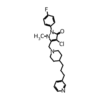 Cn1c(CN2CCC(CCCc3cccnc3)CC2)c(Cl)c(=O)n1-c1ccc(F)cc1